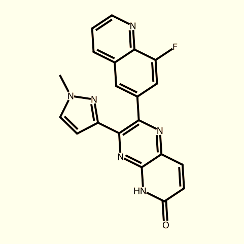 Cn1ccc(-c2nc3[nH]c(=O)ccc3nc2-c2cc(F)c3ncccc3c2)n1